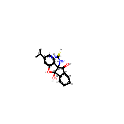 CC(C)c1ccc2c(c1)OC1(O)c3ccccc3C(=O)C21NC(N)=S